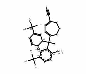 CC(C1=CC=C(C#N)CCC1)(c1cc(C(F)(F)F)ccc1N)C1C=C(C(F)(F)F)C=CC1N